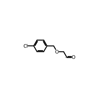 O=[C]COCc1ccc(Cl)cc1